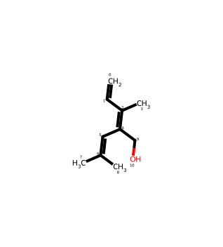 C=C/C(C)=C(\C=C(C)C)CO